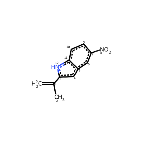 C=C(C)c1cc2cc([N+](=O)[O-])ccc2[nH]1